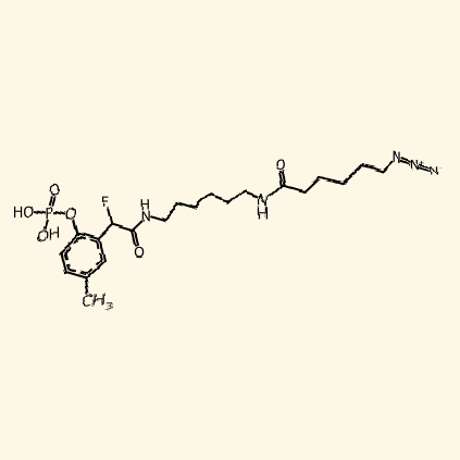 Cc1ccc(OP(=O)(O)O)c(C(F)C(=O)NCCCCCCNC(=O)CCCCCN=[N+]=[N-])c1